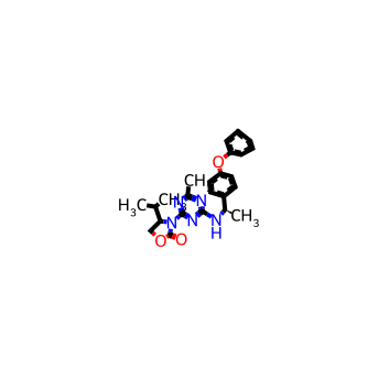 Cc1nc(N[C@@H](C)c2ccc(Oc3ccccc3)cc2)nc(N2C(=O)OCC2C(C)C)n1